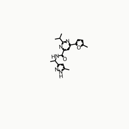 Cc1cc(C(C)NC(=O)c2cc(-c3ccc(C)o3)nc(C(C)C)n2)n[nH]1